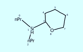 CCC[SiH](CCC)C1CCCCO1